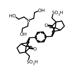 CC1(C)C2CCC1(CS(=O)(=O)O)C(=O)/C2=C\c1ccc(/C=C2\C(=O)C3(CS(=O)(=O)O)CCC2C3(C)C)cc1.OCCN(CCO)CCO